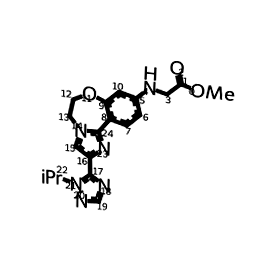 COC(=O)CNc1ccc2c(c1)OCCn1cc(-c3ncnn3C(C)C)nc1-2